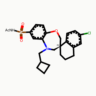 CC(=O)NS(=O)(=O)c1ccc2c(c1)N(CC1CCC1)C[C@@]1(CCCc3cc(Cl)ccc31)CO2